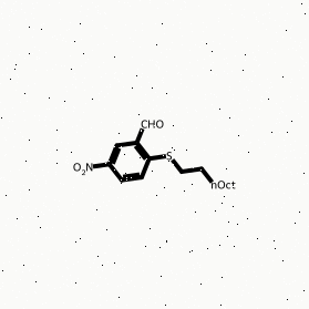 CCCCCCCCCCSc1ccc([N+](=O)[O-])cc1C=O